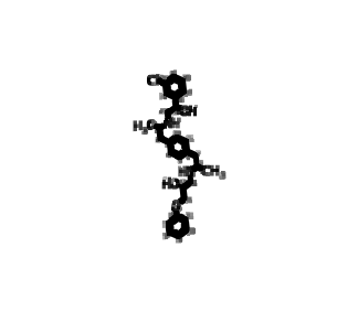 CC(Cc1ccc(CC(C)NC[C@@H](O)COc2ccccc2)cc1)NCC(O)c1cccc(Cl)c1